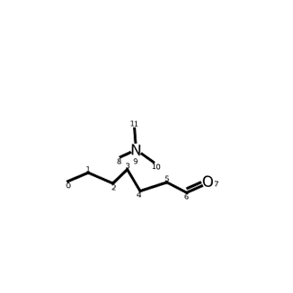 CCCCCCC=O.CN(C)C